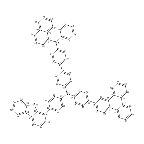 c1ccc(N(c2ccc(-c3ccc(N(c4ccc(-c5ccc6c7ccccc7c7ccccc7c6c5)cc4)c4ccc(-c5cccc6c5sc5ccccc56)cc4)cc3)cc2)c2cccc3ccccc23)cc1